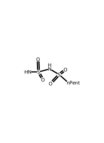 CCCCCS(=O)(=O)NS([NH])(=O)=O